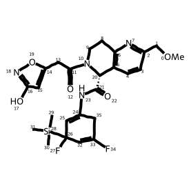 COCc1ccc2c(n1)CCN(C(=O)Cc1cc(O)no1)[C@H]2C(=O)NC1=CC(F)([Si](C)(C)C)C=C(F)C1